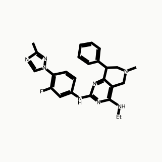 CCNc1nc(Nc2ccc(-n3cnc(C)n3)c(F)c2)nc2c1CN(C)CC2c1ccccc1